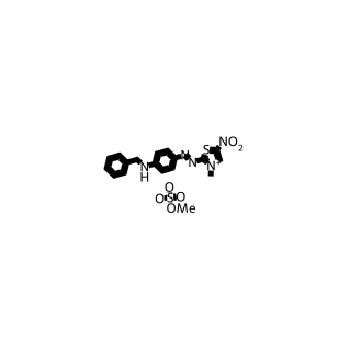 COS(=O)(=O)[O-].C[n+]1cc([N+](=O)[O-])sc1N=Nc1ccc(NCc2ccccc2)cc1